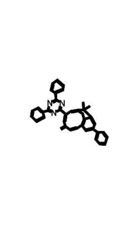 C=C1/C=C\c2cc(-c3ccccc3)cc3c2C/C(=C\C(c2nc(-c4ccccc4)nc(-c4ccccc4)n2)=C/1)C3(C)C